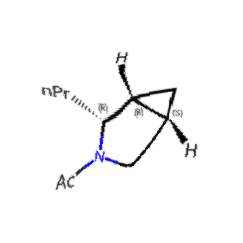 CCC[C@@H]1[C@@H]2C[C@@H]2CN1C(C)=O